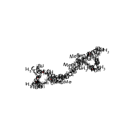 CC[C@H](C)[C@H]1O[C@]2(C=C[C@@H]1C)C[C@@H]1C[C@@H](C/C=C(\C)[C@@H](O[C@H]3C[C@H](OC)[C@@H](O[C@H]4C[C@H](OC)[C@@H](ONC(=O)Oc5cccc(OC(=O)NO[C@H]6[C@H](C)O[C@@H](O[C@H]7[C@H](C)O[C@@H](OC8/C(C)=C/C[C@@H]9C[C@@H](C[C@]%10(C=CC(C)[C@@H]([C@@H](C)CC)O%10)O9)OC(=O)[C@@H]9C=C(C)[C@@H](O)[C@H]%10OC/C(=C\C=C\[C@@H]8C)[C@]%109O)C[C@@H]7OC)C[C@@H]6OC)c5)[C@H](C)O4)[C@H](C)O3)[C@@H](C)/C=C/C=C3\COC4[C@H](O)C(C)=C[C@@H](C(=O)O1)C34O)O2